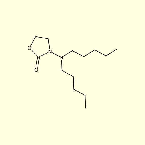 CCCCCN(CCCCC)N1CCOC1=O